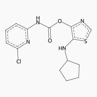 O=C(Nc1cccc(Cl)n1)Oc1ncsc1NC1CCCC1